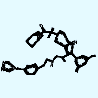 Cc1cc(C)cc(-c2[nH]c3ccc(C(C)(C)C(=O)N4C5CCC4CC5)cc3c2C(C)CNCCc2ccc(-n3cnnc3)cc2)c1